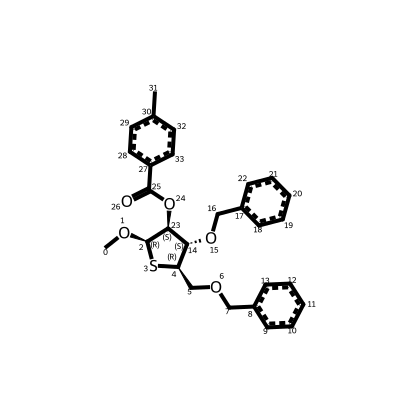 CO[C@@H]1S[C@H](COCc2ccccc2)[C@@H](OCc2ccccc2)[C@@H]1OC(=O)c1ccc(C)cc1